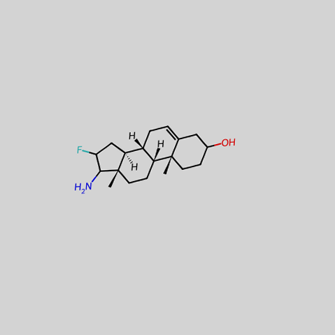 C[C@]12CCC(O)CC1=CC[C@@H]1[C@H]2CC[C@]2(C)C(N)C(F)C[C@@H]12